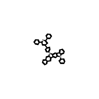 c1ccc(-c2cc(-c3ccc(-n4c5cc6ccccc6cc5c5cc6c(cc54)c4ccccc4n6-c4ccccc4)cc3)cc(-c3ccccc3)n2)cc1